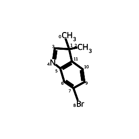 CC1(C)C=Nc2cc(Br)ccc21